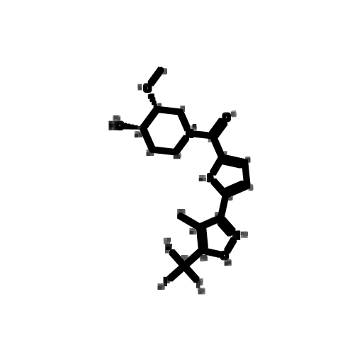 CO[C@@H]1CN(C(=O)c2ccc(-c3noc(C(F)(F)F)c3C)s2)CC[C@@H]1O